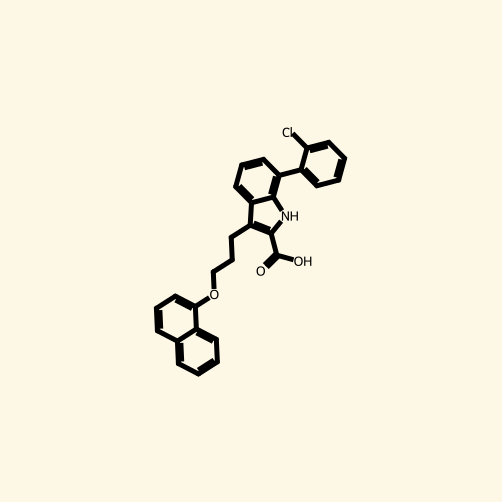 O=C(O)c1[nH]c2c(-c3ccccc3Cl)cccc2c1CCCOc1cccc2ccccc12